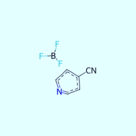 FB(F)F.N#Cc1ccncc1